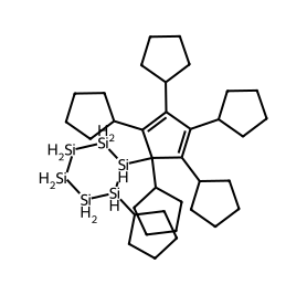 C1CCC(C2=C(C3CCCC3)C(C3CCCC3)([SiH]3[SiH2][SiH2][SiH2][SiH2][SiH]3C3CCCC3)C(C3CCCC3)=C2C2CCCC2)C1